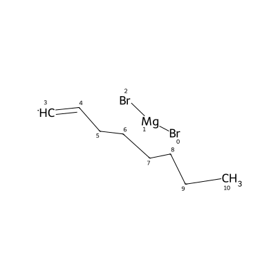 [Br][Mg][Br].[CH]=CCCCCCC